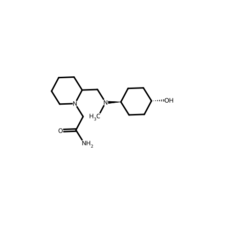 CN(CC1CCCCN1CC(N)=O)[C@H]1CC[C@H](O)CC1